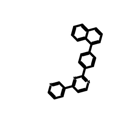 c1cncc(-c2ccnc(-c3ccc(-c4cccc5ccccc45)cc3)n2)c1